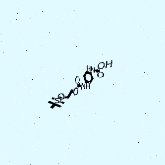 CC(C)(C)[Si](C)(C)OCCOC(=O)N[C@H]1CC[C@H](NC(=O)O)CC1